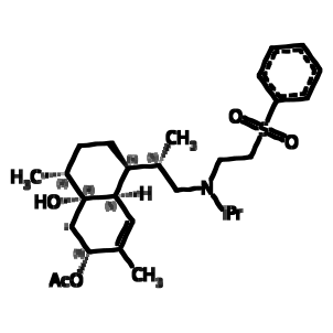 CC(=O)O[C@@H]1[C][C@@]2(O)[C@H](C)CC[C@@H]([C@H](C)CN(CCS(=O)(=O)c3ccccc3)C(C)C)[C@H]2C=C1C